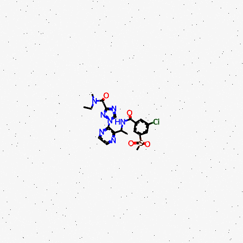 CCN(C)C(=O)c1ncn(-c2nccnc2C(C)NC(=O)c2cc(Cl)cc(S(C)(=O)=O)c2)n1